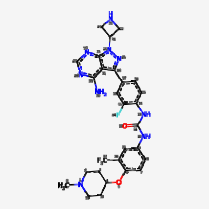 CN1CCC(Oc2ccc(NC(=O)Nc3ccc(-c4nn(C5CNC5)c5ncnc(N)c45)cc3F)cc2C(F)(F)F)CC1